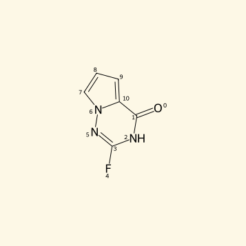 O=c1[nH]c(F)nn2cccc12